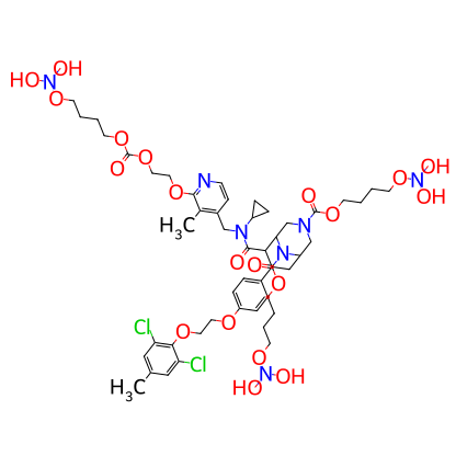 Cc1cc(Cl)c(OCCOc2ccc(C3CC4CN(C(=O)OCCCCON(O)O)CC(C3C(=O)N(Cc3ccnc(OCCOC(=O)OCCCCON(O)O)c3C)C3CC3)N4C(=O)OCCCCON(O)O)cc2)c(Cl)c1